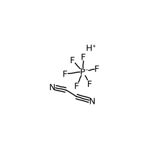 F[P-](F)(F)(F)(F)F.N#CC#N.[H+]